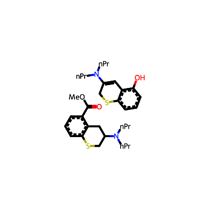 CCCN(CCC)C1=Cc2c(O)cccc2SC1.CCCN(CCC)C1CSc2cccc(C(=O)OC)c2C1